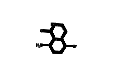 Nc1ccc(Br)c2cc[nH]c(=O)c12